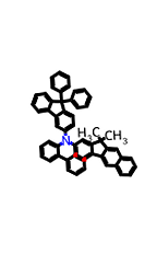 CC1(C)c2cc(N(c3ccc4c(c3)-c3ccccc3C4(c3ccccc3)c3ccccc3)c3ccccc3-c3ccccc3)ccc2-c2cc3ccccc3cc21